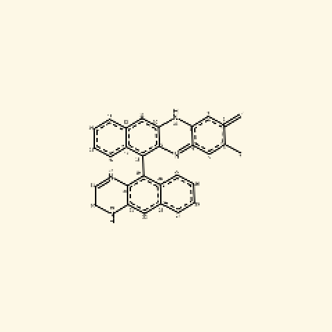 C=c1cc2c(cc1C)=Nc1c(cc3ccccc3c1-c1c3c(cc4ccccc14)NCC=N3)N2